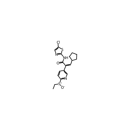 CC[S+]([O-])c1ccc(C(=CC2CCCC2)C(=O)Nc2ncc(Cl)s2)cn1